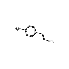 NC=Cc1ccc(N)cc1